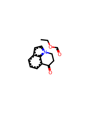 CCOC=O.O=C1CCn2ccc3cccc1c32